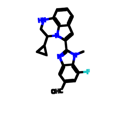 Cn1c(-c2cc3cccc4c3n2C(C2CC2)CN4)nc2cc(C=O)cc(F)c21